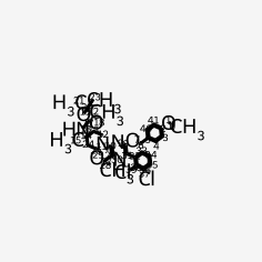 COc1ccc(COc2nc(N3CCC(C)(NC(=O)OC(C)(C)C)CC3)c(C(C)=O)nc2-c2cccc(Cl)c2Cl)cc1